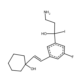 NCCC(O)(I)c1cc(F)cc(C=CC2(O)CCCCC2)c1